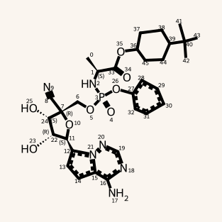 C[C@H](NP(=O)(OC[C@@]1(C#N)O[C@@H](c2ccc3c(N)ncnn23)[C@H](O)[C@@H]1O)Oc1ccccc1)C(=O)OC1CCC(C(C)(C)C)CC1